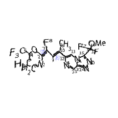 C=N/C(O[C@@H](C)C(F)(F)F)=C(F)\C=C(/C)c1cn2c(C(F)(F)OC)nnc2cn1